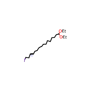 CCOC(CCCCCCCCCCC/C=C/CCI)OCC